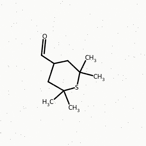 CC1(C)CC(C=O)CC(C)(C)S1